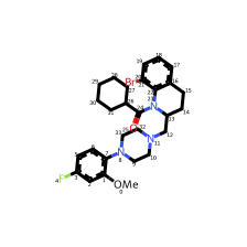 COc1cc(F)ccc1N1CCN(CC2CCc3cccc(Br)c3N2C(=O)C2CCCCC2)CC1